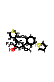 COc1ccc([SH]2C=CC=C2)cc1C(C)(C)CC(O)(CC1C=CSC1)C(F)(F)F